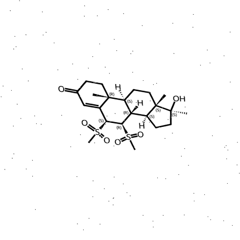 C[C@]12CCC(=O)C=C1[C@H](S(C)(=O)=O)[C@H](S(C)(=O)=O)[C@@H]1[C@@H]2CC[C@@]2(C)[C@H]1CC[C@]2(C)O